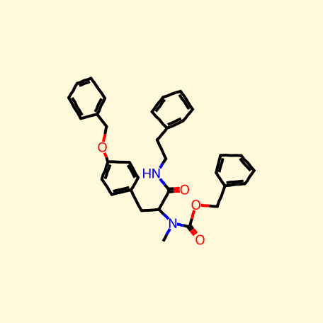 CN(C(=O)OCc1ccccc1)C(Cc1ccc(OCc2ccccc2)cc1)C(=O)NCCc1ccccc1